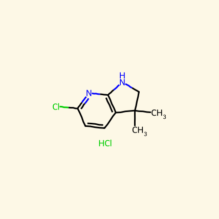 CC1(C)CNc2nc(Cl)ccc21.Cl